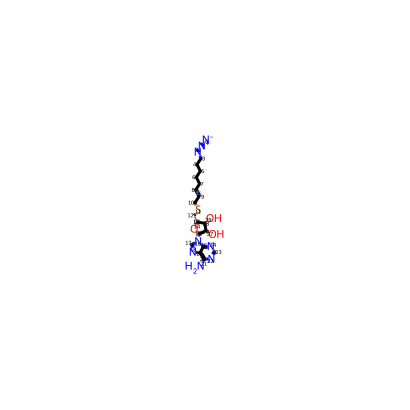 [N-]=[N+]=NCCCCC/C=C/CSC[C@H]1O[C@@H](n2cnc3c(N)ncnc32)C(O)C1O